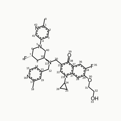 Cc1ccc(N2C[C@@H](F)C[C@H](N(Cc3ccnc(C)c3)Cc3cn(C4CC4)c4cc(OCCO)c(F)cc4c3=O)C2)cn1